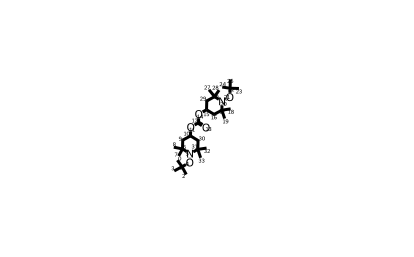 CC(C)(C)ON1C(C)(C)CC(OC(=O)OC2CC(C)(C)N(OC(C)(C)C)C(C)(C)C2)CC1(C)C